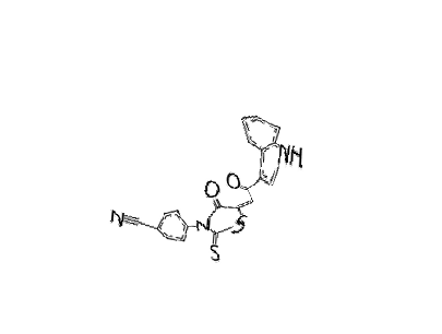 N#Cc1ccc(N2C(=O)/C(=C\C(=O)c3c[nH]c4ccccc34)SC2=S)cc1